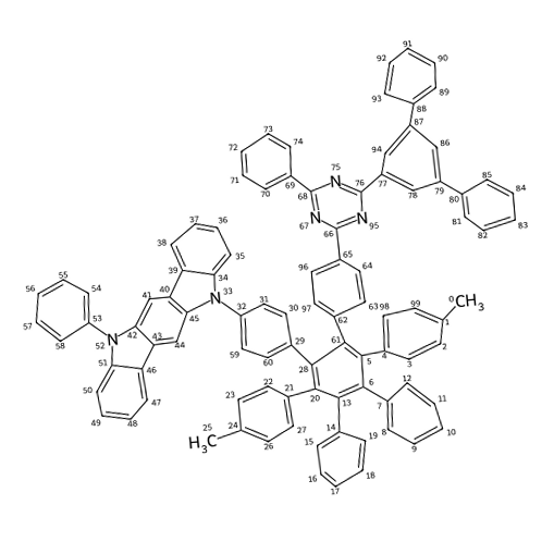 Cc1ccc(-c2c(-c3ccccc3)c(-c3ccccc3)c(-c3ccc(C)cc3)c(-c3ccc(-n4c5ccccc5c5cc6c(cc54)c4ccccc4n6-c4ccccc4)cc3)c2-c2ccc(-c3nc(-c4ccccc4)nc(-c4cc(-c5ccccc5)cc(-c5ccccc5)c4)n3)cc2)cc1